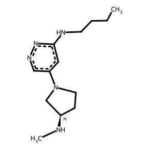 CCCCNc1cc(N2CC[C@@H](NC)C2)cnn1